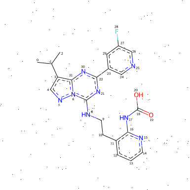 CC(C)c1cnn2c(NCCc3cccnc3NC(=O)O)nc(-c3cncc(F)c3)nc12